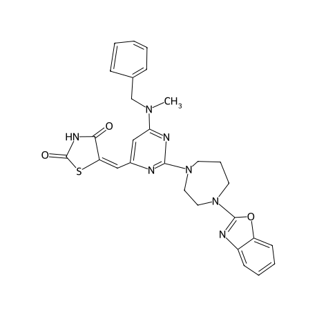 CN(Cc1ccccc1)c1cc(C=C2SC(=O)NC2=O)nc(N2CCCN(c3nc4ccccc4o3)CC2)n1